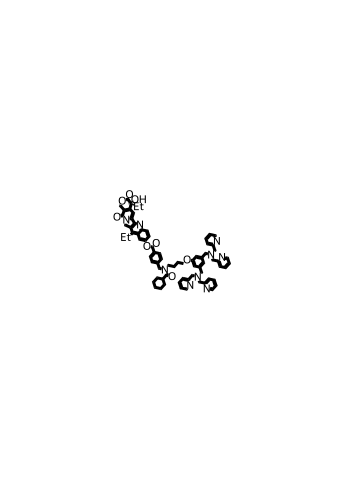 CCc1c2c(nc3ccc(OC(=O)c4ccc(CN(CCCCOc5cc(CN(Cc6ccccn6)Cc6ccccn6)cc(CN(Cc6ccccn6)Cc6ccccn6)c5)C(=O)C5CCCCC5)cc4)cc13)-c1cc3c(c(=O)n1C2)COC(=O)[C@]3(O)CC